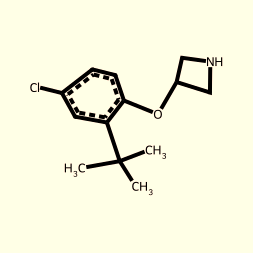 CC(C)(C)c1cc(Cl)ccc1OC1CNC1